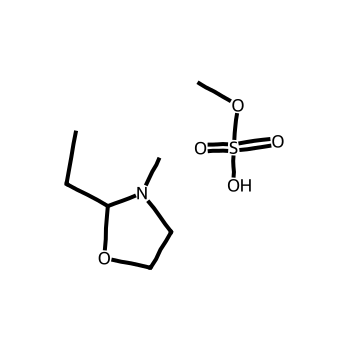 CCC1OCCN1C.COS(=O)(=O)O